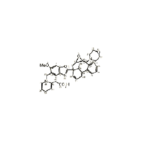 COc1cc2oc(C3(CC4OC4CN4CCOCC4)C=CC=C(c4ccccc4C)C3C)nc2cc1CN1CCCCC1CC(=O)O